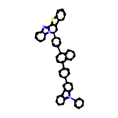 c1ccc(-n2c3ccccc3c3cc(-c4ccc(-c5ccc(-c6ccc(-c7cc8c9ccccc9sc8c8nc9ccccc9n78)cc6)c6ccccc56)cc4)ccc32)cc1